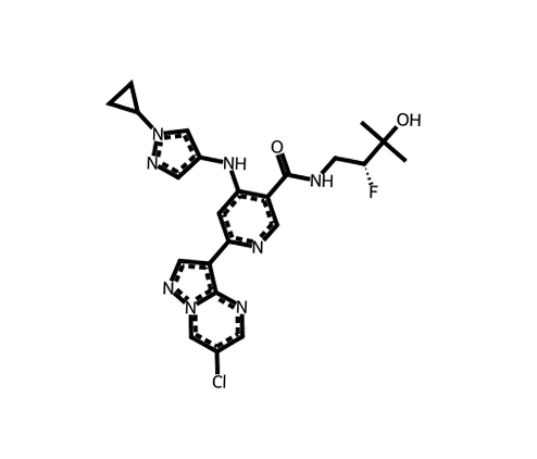 CC(C)(O)[C@H](F)CNC(=O)c1cnc(-c2cnn3cc(Cl)cnc23)cc1Nc1cnn(C2CC2)c1